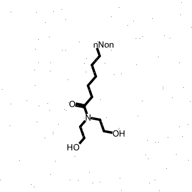 CCCCCCCCCCCCCCC(=O)N(CCO)CCO